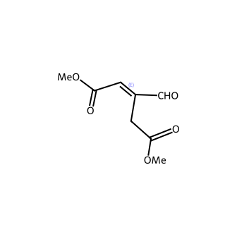 COC(=O)/C=C(/C=O)CC(=O)OC